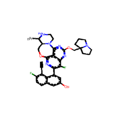 C#Cc1c(F)ccc2cc(O)cc(-c3nc4c5c(nc(OCC67CCCN6CCC7)nc5c3F)N3CCNC(CCC)C3CO4)c12